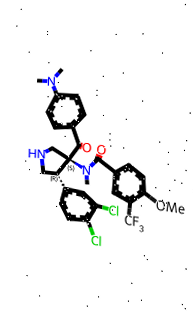 COc1ccc(C(=O)N(C)[C@]2(C(=O)c3ccc(N(C)C)cc3)CNC[C@H]2c2ccc(Cl)c(Cl)c2)cc1C(F)(F)F